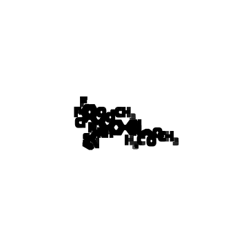 CCOC(=O)C1=C(C2CCC(c3cnn(C(C)CC(=O)OC)c3)CC2)NC(c2nccs2)=NC1c1ccc(F)c(F)c1Cl